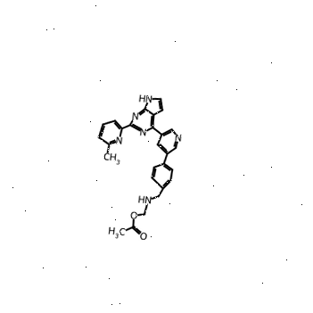 CC(=O)OCNCc1ccc(-c2cncc(-c3nc(-c4cccc(C)n4)nc4[nH]ccc34)c2)cc1